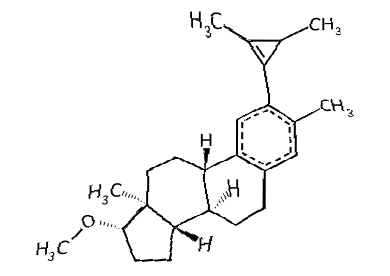 CO[C@H]1CC[C@H]2[C@@H]3CCc4cc(C)c(C5=C(C)C5C)cc4[C@H]3CC[C@]12C